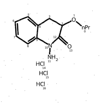 CCCOC1Cc2ccccc2N(N)C1=O.Cl.Cl.Cl